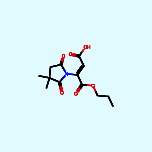 CCCOC(=O)/C(=C/C(=O)O)N1C(=O)CC(C)(C)C1=O